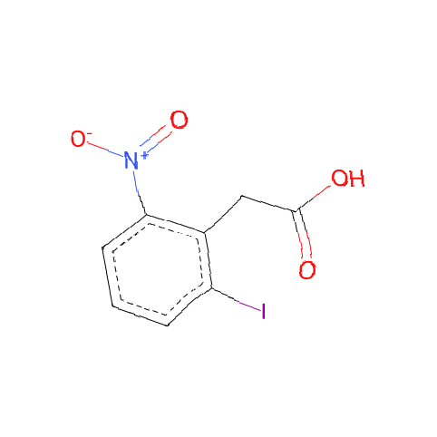 O=C(O)Cc1c(I)cccc1[N+](=O)[O-]